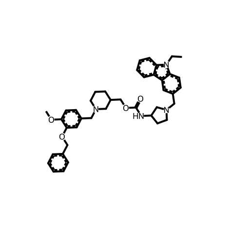 CCn1c2ccccc2c2cc(CN3CCC(NC(=O)OCC4CCCN(Cc5ccc(OC)c(OCc6ccccc6)c5)C4)C3)ccc21